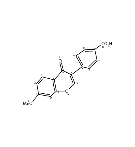 COc1ccc2c(=O)c(-c3ccc(C(=O)O)cc3)coc2c1